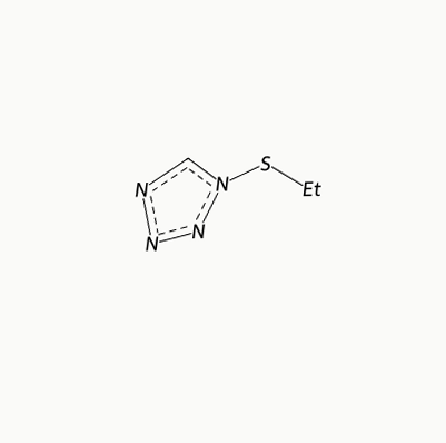 CCSn1cnnn1